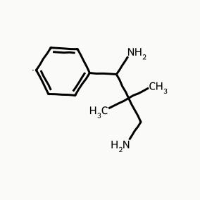 CC(C)(CN)C(N)c1cc[c]cc1